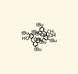 CC(C)(C)c1cc(Cc2cc(C(C)(C)C)cc(C(C)(C)C)c2O)c(O)c(C(C)(C)C)c1.CC(c1cc(C(C)(C)C)cc(C(C)(C)C)c1O)c1cc(C(C)(C)C)cc(C(C)(C)C)c1O